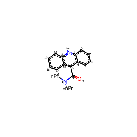 CCCN(CCC)C(=O)c1c2ccccc2nc2ccccc12